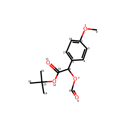 COc1ccc(C(O[C]=O)C(=O)OC(C)(C)C)cc1